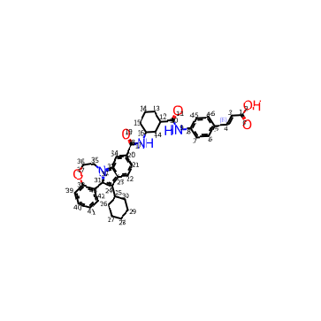 O=C(O)/C=C/c1ccc(NC(=O)C2CCCC(NC(=O)c3ccc4c(C5CCCCC5)c5n(c4c3)CCOc3ccccc3-5)C2)cc1